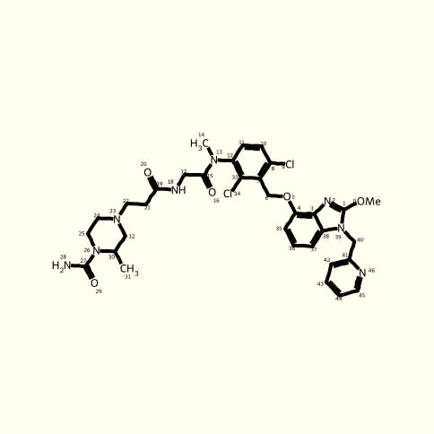 COc1nc2c(OCc3c(Cl)ccc(N(C)C(=O)CNC(=O)CCN4CCN(C(N)=O)C(C)C4)c3Cl)cccc2n1Cc1ccccn1